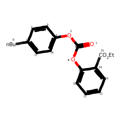 CCCCc1ccc(OC(=O)Oc2ccccc2C(=O)OCC)cc1